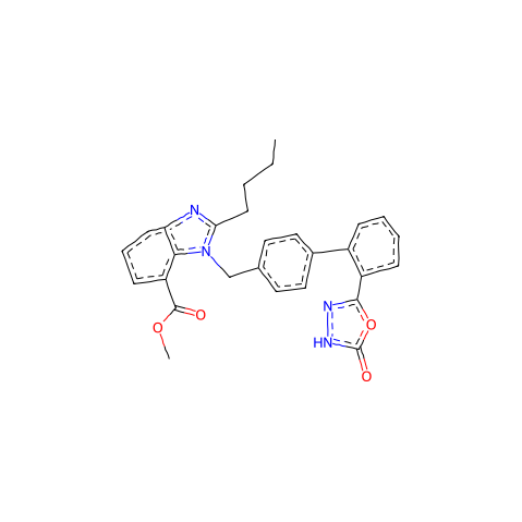 CCCCc1nc2cccc(C(=O)OC)c2n1Cc1ccc(-c2ccccc2-c2n[nH]c(=O)o2)cc1